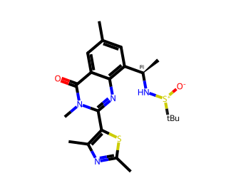 Cc1cc([C@@H](C)N[S+]([O-])C(C)(C)C)c2nc(-c3sc(C)nc3C)n(C)c(=O)c2c1